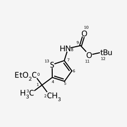 CCOC(=O)C(C)(C)c1ccc(NC(=O)OC(C)(C)C)s1